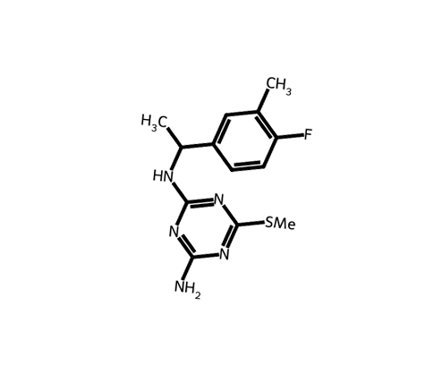 CSc1nc(N)nc(NC(C)c2ccc(F)c(C)c2)n1